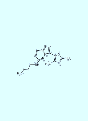 CCCCNc1ccc2ncc(-c3sc(C)nc3C)n2n1